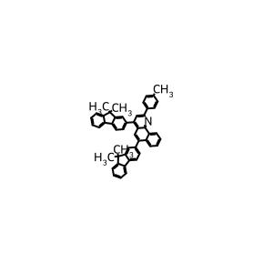 Cc1ccc(-c2cc(-c3ccc4c(c3)C(C)(C)c3ccccc3-4)c3cc(-c4ccc5c(c4)C(C)(C)c4ccccc4-5)c4ccccc4c3n2)cc1